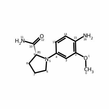 COc1cc(N2CCC[C@@H]2C(N)=O)ccc1N